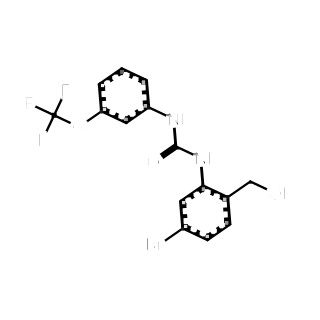 O=C(Nc1cccc(OC(F)(F)F)c1)Nc1cc(Br)ccc1CO